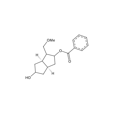 COCC1C(OC(=O)c2ccccc2)C[C@H]2CC(O)C[C@@H]12